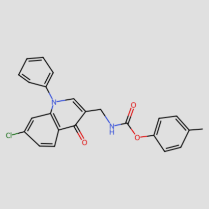 Cc1ccc(OC(=O)NCc2cn(-c3ccccc3)c3cc(Cl)ccc3c2=O)cc1